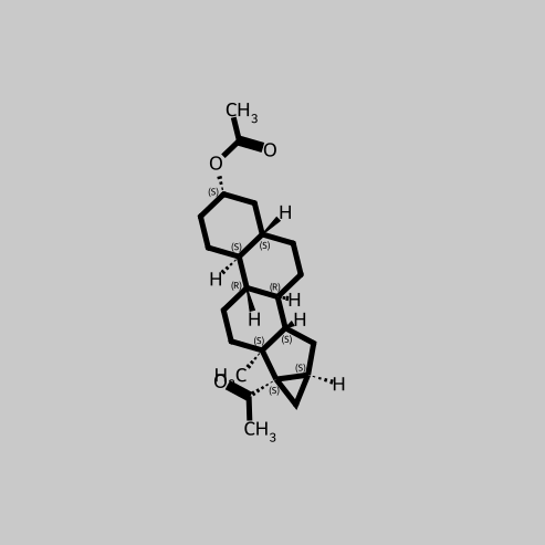 CC(=O)O[C@H]1CC[C@H]2[C@@H](CC[C@@H]3[C@@H]2CC[C@@]2(C)[C@H]3C[C@H]3C[C@]32C(C)=O)C1